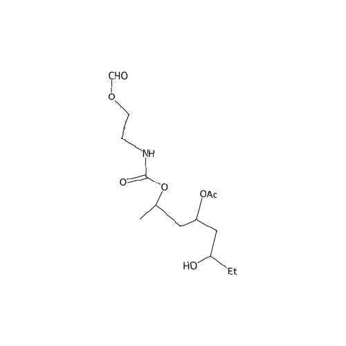 CCC(O)CC(CC(C)OC(=O)NCCOC=O)OC(C)=O